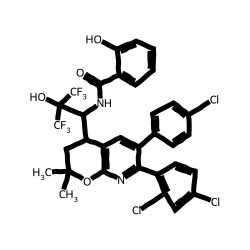 CC1(C)CC(C(NC(=O)c2ccccc2O)C(O)(C(F)(F)F)C(F)(F)F)c2cc(-c3ccc(Cl)cc3)c(-c3ccc(Cl)cc3Cl)nc2O1